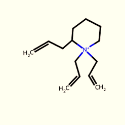 C=CCC1CCCC[N+]1(CC=C)CC=C